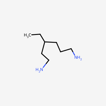 CCC(CCN)CCCN